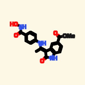 COC(=O)c1ccc2c(c1)C(=C(C)Nc1ccc(C(=O)NO)cc1)C(=O)N2